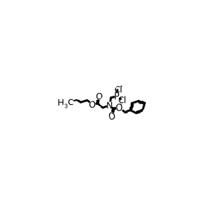 CCCCOC(=O)CN(CP(Cl)Cl)C(=O)OCc1ccccc1